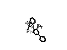 Cc1n(-c2c(C(C)C)cc(-c3ccccc3)cc2C(C)C)c2ccccc2[n+]1C